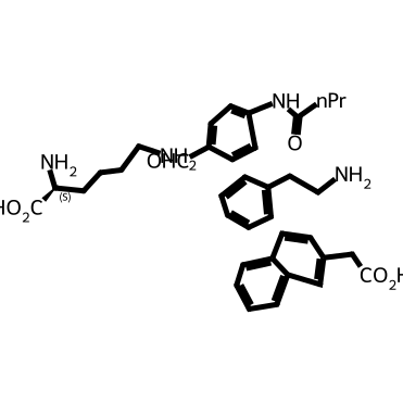 CCCC(=O)Nc1ccc(C=O)cc1.NCCCC[C@H](N)C(=O)O.NCCc1ccccc1.O=C(O)Cc1ccc2ccccc2c1